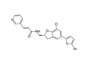 CC(=O)c1ccc(-c2cc(Cl)c3c(c2)C[C@@H](CNC(=O)C=Cc2cccnc2)O3)s1